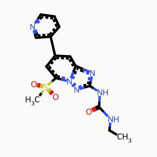 CCNC(=O)Nc1nc2cc(-c3cccnc3)cc(S(C)(=O)=O)n2n1